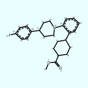 COC(=O)C1CCC(c2ccccc2N2CCC(c3ccc(F)cc3)CC2)CC1